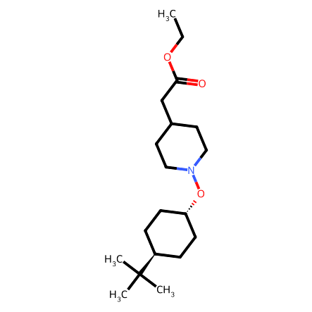 CCOC(=O)CC1CCN(O[C@H]2CC[C@H](C(C)(C)C)CC2)CC1